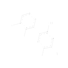 Cc1cc(F)c(F)cc1-c1cccc(C(C)C)c1F